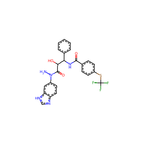 NN(C(=O)C(O)C(NC(=O)c1ccc(SC(F)(F)F)cc1)c1ccccc1)c1ccc2nc[nH]c2c1